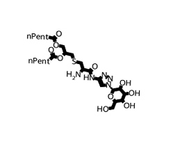 CCCCCC(=O)OCC(CSCC(N)C(=O)Nc1cn([C@@H]2OC(CO)C(O)C(O)C2O)nn1)OC(=O)CCCCC